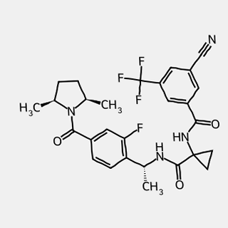 C[C@@H]1CC[C@H](C)N1C(=O)c1ccc([C@@H](C)NC(=O)C2(NC(=O)c3cc(C#N)cc(C(F)(F)F)c3)CC2)c(F)c1